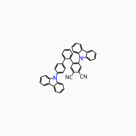 N#Cc1cc(-c2ccccc2-c2ccc(-n3c4ccccc4c4ccccc43)cc2)c(-n2c3ccccc3c3ccccc32)cc1C#N